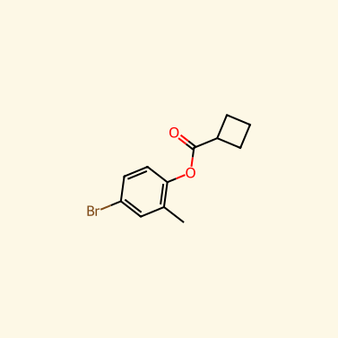 Cc1cc(Br)ccc1OC(=O)C1CCC1